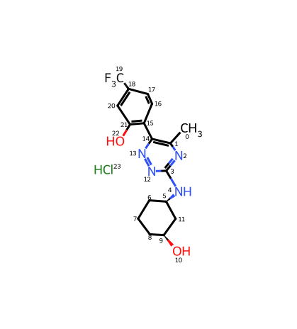 Cc1nc(N[C@@H]2CCC[C@H](O)C2)nnc1-c1ccc(C(F)(F)F)cc1O.Cl